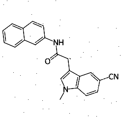 Cn1cc([CH]C(=O)Nc2ccc3ccccc3c2)c2cc(C#N)ccc21